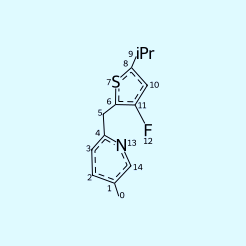 Cc1ccc(Cc2sc(C(C)C)cc2F)nc1